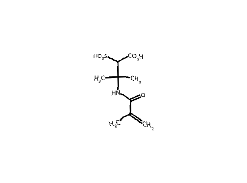 C=C(C)C(=O)NC(C)(C)C(C(=O)O)S(=O)(=O)O